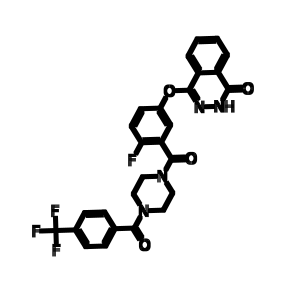 O=C(c1ccc(C(F)(F)F)cc1)N1CCN(C(=O)c2cc(Oc3n[nH]c(=O)c4ccccc34)ccc2F)CC1